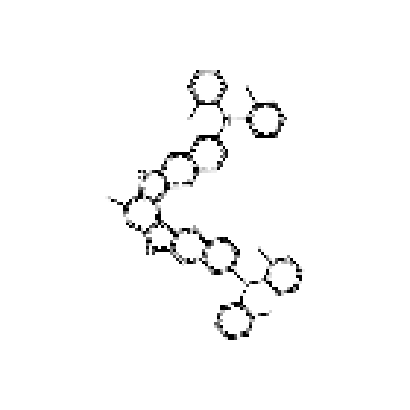 Cc1ccccc1N(c1ccc2cc3c(cc2c1)oc1cc(C)c2oc4cc5cc(N(c6ccccc6C)c6ccccc6C)ccc5cc4c2c13)c1ccccc1C